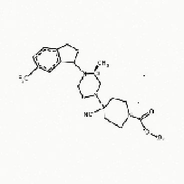 C[C@H]1CN(C2(C#N)CCN(C(=O)OC(C)(C)C)CC2)CCN1C1CCc2ccc(C(F)(F)F)cc21